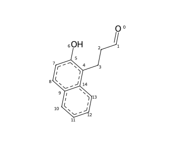 O=CCCc1c(O)ccc2ccccc12